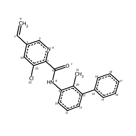 C=Cc1cnc(C(=O)Nc2cccc(-c3ccccc3)c2C)c(Cl)c1